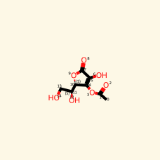 CC(=O)OC1=C(O)C(=O)O[C@H]1[C@@H](O)CO